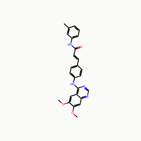 COc1cc2ncnc(Nc3ccc(/C=C/C(=O)Nc4cccc(C)c4)cc3)c2cc1OC